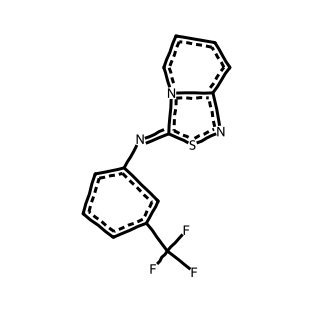 FC(F)(F)c1cccc(N=c2snc3ccccn23)c1